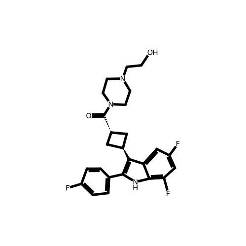 O=C([C@H]1C[C@H](c2c(-c3ccc(F)cc3)[nH]c3c(F)cc(F)cc32)C1)N1CCN(CCO)CC1